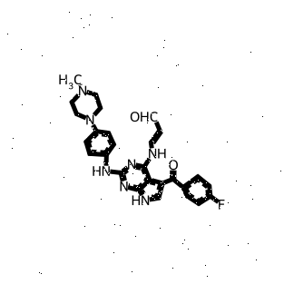 CN1CCN(c2ccc(Nc3nc(NC=CC=O)c4c(C(=O)c5ccc(F)cc5)c[nH]c4n3)cc2)CC1